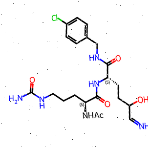 CC(=O)N[C@@H](CCCNC(N)=O)C(=O)N[C@@H](CCC(O)C=N)C(=O)NCc1ccc(Cl)cc1